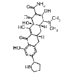 CN(C)[C@@H]1C(O)=C(C(N)=O)C(=O)[C@@]2(O)C(O)=C3C(=O)c4c(O)cc(C5CCCN5)cc4C[C@H]3C[C@@H]12